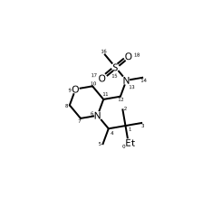 CCC(C)(C)C(C)N1CCOCC1CN(C)S(C)(=O)=O